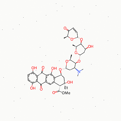 CC[C@@]1(O)C[C@H](O[C@H]2C[C@H](N(C)C)[C@H](O[C@H]3C[C@H](O)[C@H](O[C@H]4C=CC(=O)[C@H](C)O4)[C@H](C)O3)[C@H](C)O2)c2c(cc3c(c2O)C(=O)c2c(O)ccc(O)c2C3=O)[C@H]1C(=O)OC